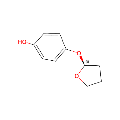 Oc1ccc(O[C@H]2CCCO2)cc1